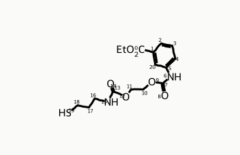 CCOC(=O)c1cccc(NC(=O)OCCOC(=O)NCCCS)c1